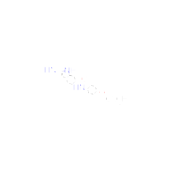 Cc1cc(OCC(=O)O)ccc1NC(=O)c1ccc2c3c([nH]c2c1)CNCC3